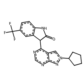 O=C1Nc2ccc(C(F)(F)F)cc2C1c1ncnc2nn(C3CCCC3)cc12